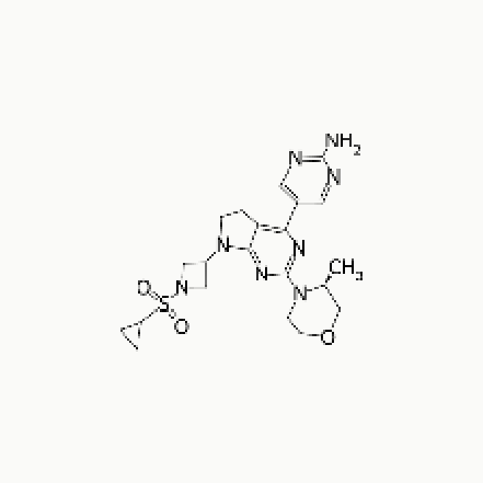 C[C@H]1COCCN1c1nc(-c2cnc(N)nc2)c2c(n1)N(C1CN(S(=O)(=O)C3CC3)C1)CC2